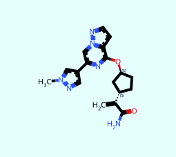 C=C(C(N)=O)[C@H]1CC[C@H](Oc2nc(-c3cnn(C)c3)cn3nccc23)C1